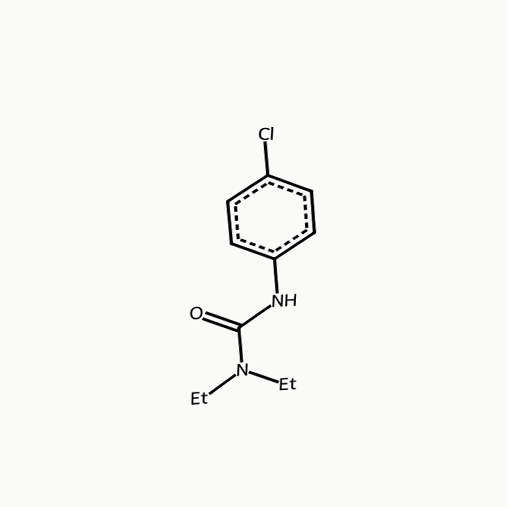 CCN(CC)C(=O)Nc1ccc(Cl)cc1